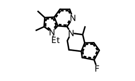 CCn1c(C)c(C)c2ccnc(N3CCc4cc(F)ccc4C3C)c21